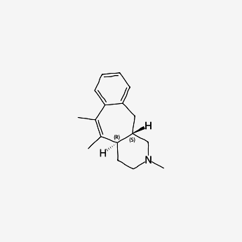 CC1=C(C)[C@@H]2CCN(C)C[C@H]2Cc2ccccc21